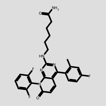 Cc1cc(F)ccc1-c1nc(NCCCCCC(N)=O)nc2c1ccc(=O)n2-c1c(F)cccc1F